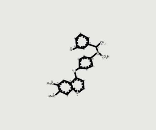 COc1cc2nccc(Oc3ccc(N(C(=O)O)C(C)c4cccc(Br)c4)cc3)c2cc1OC